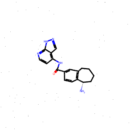 N[C@H]1CCCCc2cc(C(=O)Nc3ccnc4[nH]ncc34)ccc21